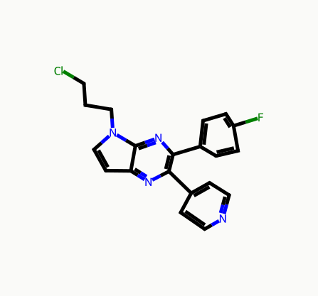 Fc1ccc(-c2nc3c(ccn3CCCCl)nc2-c2ccncc2)cc1